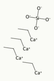 C[CH2][Ca+].C[CH2][Ca+].C[CH2][Ca+].C[CH2][Ca+].[O-][Si]([O-])([O-])[O-]